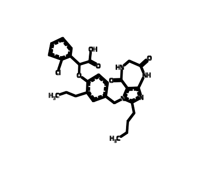 CCCCc1nc2c(n1Cc1ccc(OC(C(=O)O)c3ccccc3Cl)c(CCC)c1)C(=O)NCC(=O)N2